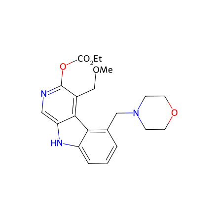 CCOC(=O)Oc1ncc2[nH]c3cccc(CN4CCOCC4)c3c2c1COC